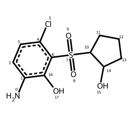 Nc1ccc(Cl)c(S(=O)(=O)C2CCCC2O)c1O